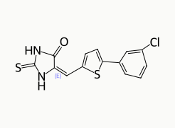 O=C1NC(=S)N/C1=C/c1ccc(-c2cccc(Cl)c2)s1